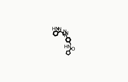 O=C(NCc1ccc(-n2cc(-c3n[nH]c4ccccc34)nn2)cc1)C1CCCC1